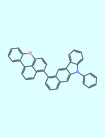 c1ccc(-n2c3ccccc3c3cc4c(-c5ccc6c7c(cccc57)-c5ccccc5O6)cccc4cc32)cc1